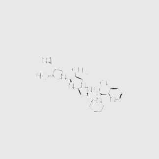 Cc1cn2nc([C@@H]3CCCCN3C(=O)c3ncccc3Cl)cc2nc1N1C[C@H](O)[C@H](C2=NC2)C1